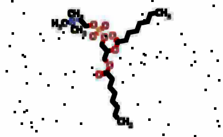 CCCCCCCC(=O)OCC(COP(=O)([O-])OCC[N+](C)(C)C)OC(=O)CCCCCCC